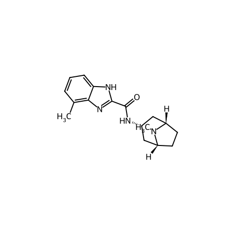 Cc1cccc2[nH]c(C(=O)N[C@H]3C[C@H]4CC[C@@H](C3)N4C)nc12